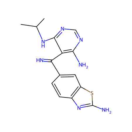 CC(C)Nc1ncnc(N)c1C(=N)c1ccc2nc(N)sc2c1